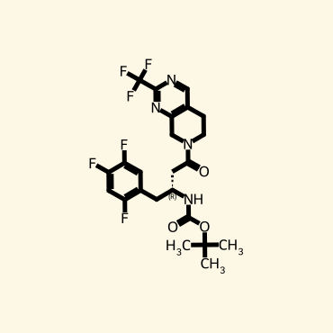 CC(C)(C)OC(=O)N[C@@H](CC(=O)N1CCc2cnc(C(F)(F)F)nc2C1)Cc1cc(F)c(F)cc1F